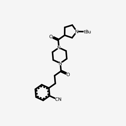 CC(C)(C)N1CCC(C(=O)N2CCN(C(=O)CCc3ccccc3C#N)CC2)C1